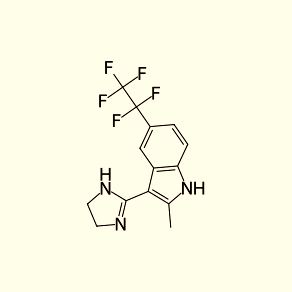 Cc1[nH]c2ccc(C(F)(F)C(F)(F)F)cc2c1C1=NCCN1